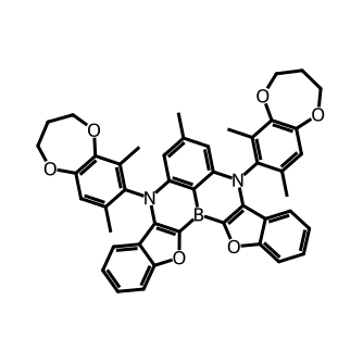 Cc1cc2c3c(c1)N(c1c(C)cc4c(c1C)OCCCO4)c1c(oc4ccccc14)B3c1oc3ccccc3c1N2c1c(C)cc2c(c1C)OCCCO2